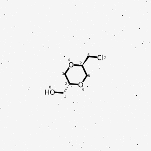 OC[C@@H]1CO[C@@H](CCl)CO1